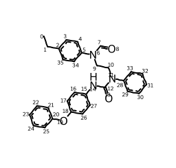 CCc1ccc(N(C=O)CCN(C(=O)Nc2ccc(Oc3ccccc3)cc2)c2ccccc2)cc1